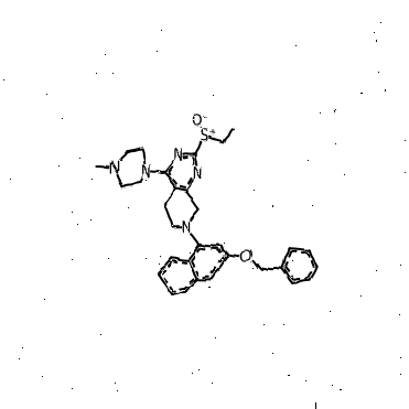 CC[S+]([O-])c1nc2c(c(N3CCN(C)CC3)n1)CCN(c1cc(OCc3ccccc3)cc3ccccc13)C2